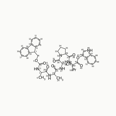 CC(NC(=O)OCC1c2ccccc2-c2ccccc21)C(=O)NC(C)C(=O)NC(C)C(=O)N1CCCC1C(=O)NC(C(=O)Oc1c[nH]c2ccccc12)C(C)C